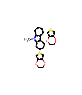 Cn1c2ccccc2c2ccccc21.c1scc2c1OCCO2.c1scc2c1OCCO2